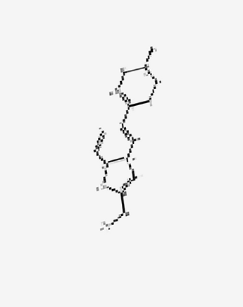 C[C@H]1CCC(c2ccc3sc(CO)nc3c2)=NC1